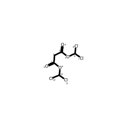 O=C(CC(=O)OC(Cl)Cl)OC(Cl)Cl